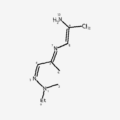 CCN(C)\N=C/C(C)=N/C=C(\N)Cl